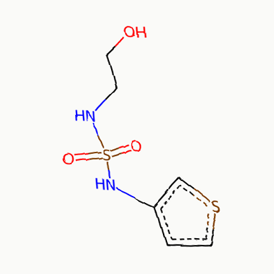 O=S(=O)(NCCO)Nc1ccsc1